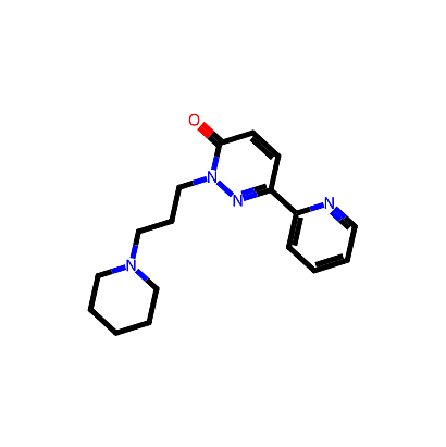 O=c1ccc(-c2ccccn2)nn1CCCN1CCCCC1